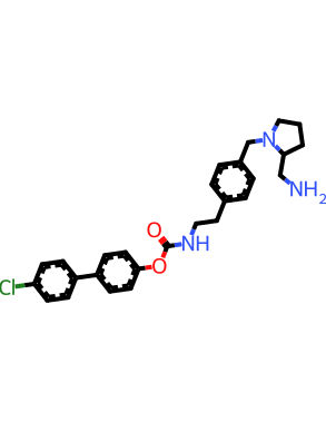 NCC1CCCN1Cc1ccc(CCNC(=O)Oc2ccc(-c3ccc(Cl)cc3)cc2)cc1